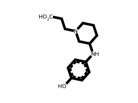 O=C(O)CCN1CCCC(Nc2ccc(O)cc2)C1